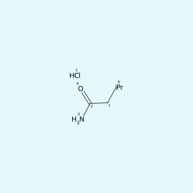 CC(C)CC(N)=O.Cl